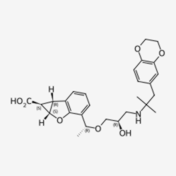 C[C@@H](OC[C@H](O)CNC(C)(C)Cc1ccc2c(c1)OCCO2)c1cccc2c1O[C@@H]1[C@@H](C(=O)O)[C@H]21